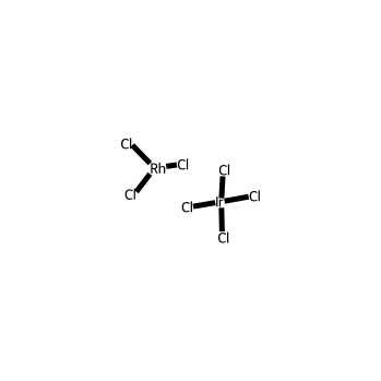 [Cl][Ir]([Cl])([Cl])[Cl].[Cl][Rh]([Cl])[Cl]